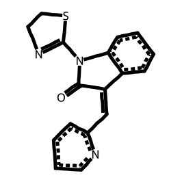 O=C1/C(=C\c2ccccn2)c2ccccc2N1C1=NCCS1